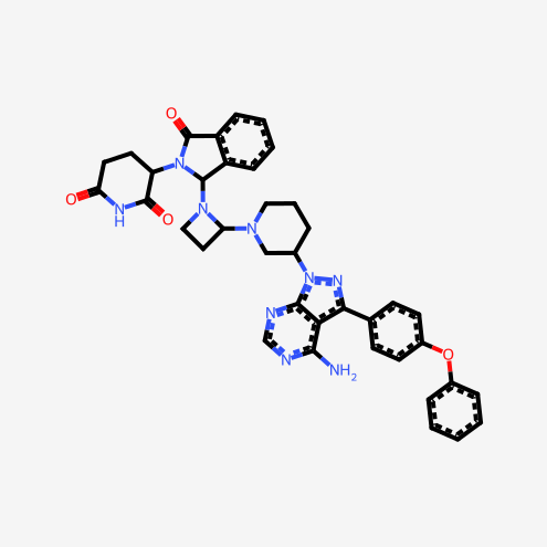 Nc1ncnc2c1c(-c1ccc(Oc3ccccc3)cc1)nn2C1CCCN(C2CCN2C2c3ccccc3C(=O)N2C2CCC(=O)NC2=O)C1